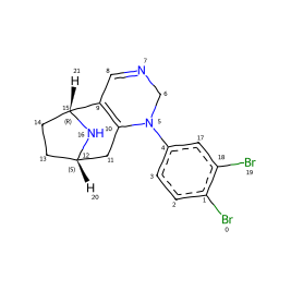 Brc1ccc(N2CN=CC3=C2C[C@@H]2CC[C@H]3N2)cc1Br